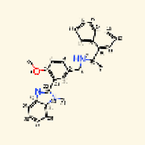 COc1ccc(CN[C@H](C)c2cccc3ccccc23)cc1-c1nc2ccccc2n1C